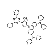 Cc1cc(-n2c3c(c4cc(N(c5ccccc5)c5ccccc5)ccc42)CC(N(c2ccccc2)c2ccccc2)C=C3)ccc1-c1nc(-c2ccccc2)nc(-c2ccccc2)n1